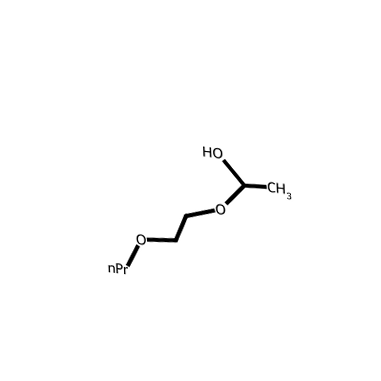 CCCOCCOC(C)O